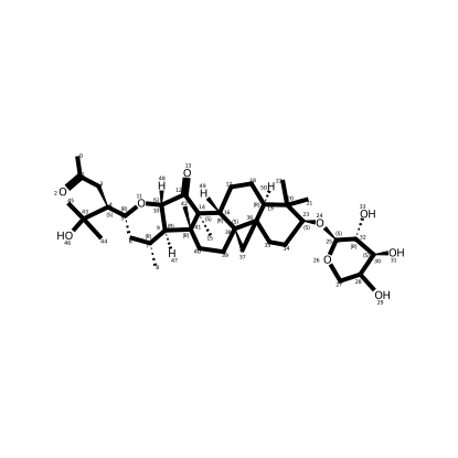 CC(=O)C[C@@H]([C@H]1C[C@@H](C)[C@H]2[C@H](O1)C(=O)[C@@]1(C)[C@@H]3CC[C@H]4C(C)(C)[C@@H](O[C@@H]5OCC(O)[C@H](O)[C@H]5O)CCC45C[C@@]35CC[C@]21C)C(C)(C)O